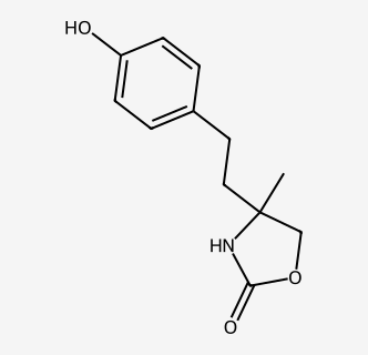 CC1(CCc2ccc(O)cc2)COC(=O)N1